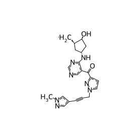 [CH2][C@@H]1C[C@@H](Nc2ncncc2C(=O)c2ccn(CC#Cc3cnn(C)c3)n2)C[C@@H]1O